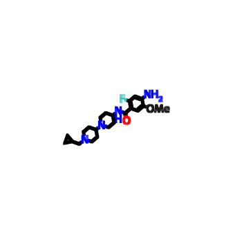 COc1cc(C(=O)NC2CCN(C3CCN(CC4CC4)CC3)CC2)c(F)cc1N